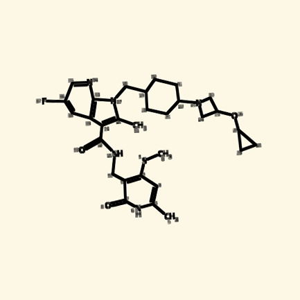 CSc1cc(C)[nH]c(=O)c1CNC(=O)c1c(C)n(CC2CCC(N3CC(OC4CC4)C3)CC2)c2ncc(F)cc12